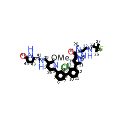 COc1nc(-c2cccc(-c3cccc(-c4cc5c(=O)n(C)c(CNCC(C)(C)F)nn5c4)c3Cl)c2Cl)ccc1CNC[C@@H]1CCC(=O)N1